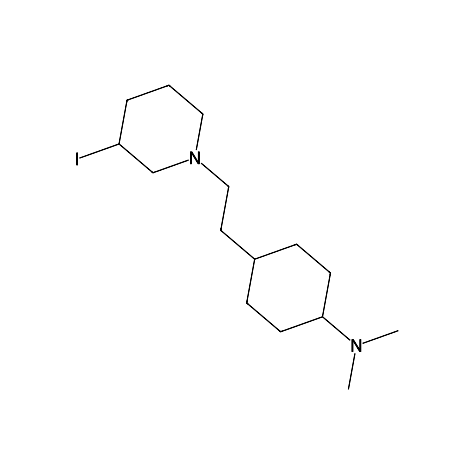 CN(C)C1CCC(CCN2CCCC(I)C2)CC1